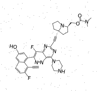 C#Cc1c(F)ccc2cc(O)cc(-c3nnc4c(N5CCNCC5)nc(C#C[C@]56CCCN5[C@@H](COC(=O)N(C)C)CC6)nc4c3F)c12